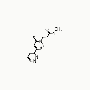 CNC(=O)CCn1ncc(-c2cccnn2)cc1=S